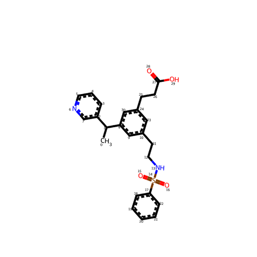 CC(c1cccnc1)c1cc(CCNS(=O)(=O)c2ccccc2)cc(CCC(=O)O)c1